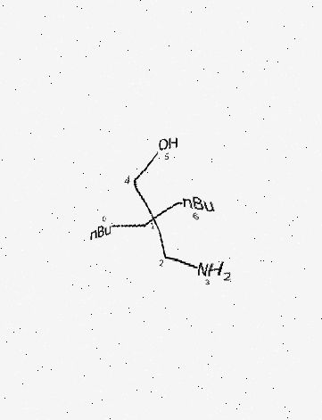 CCCCC(CN)(CO)CCCC